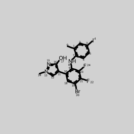 Cc1cc(I)ccc1Nc1c(-c2cn(C)nc2O)cc(Br)c(F)c1F